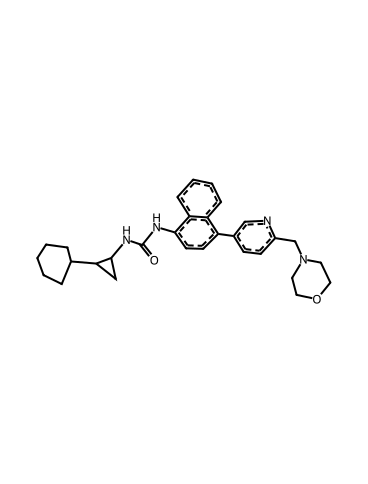 O=C(Nc1ccc(-c2ccc(CN3CCOCC3)nc2)c2ccccc12)NC1CC1C1CCCCC1